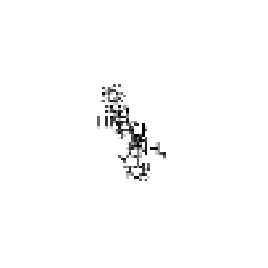 Cl.N[C@@]1(Cc2ccc3ccccc3c2)C[C@H]1c1ccc(NC(=O)Cc2ccccc2)cc1